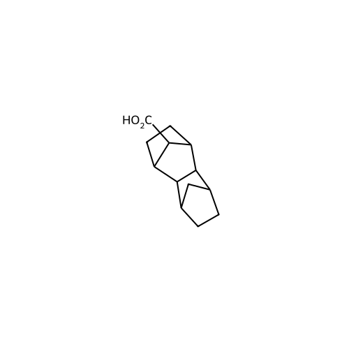 O=C(O)C1C2CCC1C1C3CCC(C3)C21